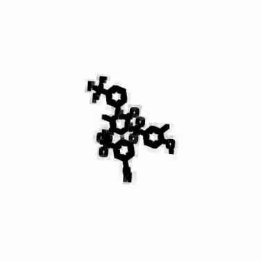 [C-]#[N+]C1=C(C)N(c2cccc(C(F)(F)F)c2)C(=O)N(S(=O)(=O)c2ccc(OC)c(C)c2)[C@@H]1c1ccc(C#N)cc1S(C)(=O)=O